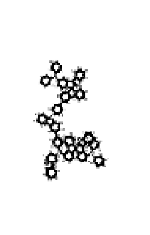 c1ccc(N(c2ccccc2)c2ccc3c(c2)-c2c(sc4ccccc24)C32c3ccccc3-c3cc(-c4ccc(-n5c6ccccc6c6cc(-c7ccc(N(c8ccc9sc%10ccccc%10c9c8)c8cccc9c8-c8ccccc8C98c9cccc(N(c%10ccccc%10)c%10ccccc%10)c9-c9c8sc8ccccc98)cc7)ccc65)cc4)ccc32)cc1